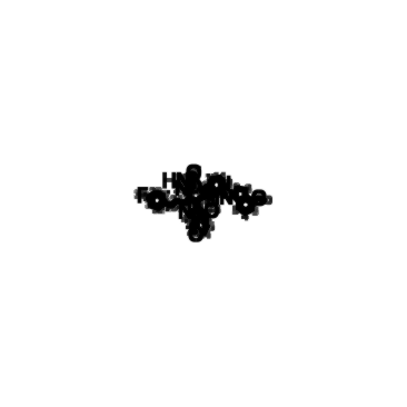 COc1cccc2c1CC[C@H]2Nc1nccc2cc(-c3c4c(nc(CCc5ccc(F)cc5)c3-c3n[nH]c(=O)o3)[C@]3(C)COCCN3C4=O)sc12